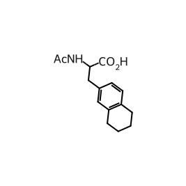 CC(=O)NC(Cc1ccc2c(c1)CCCC2)C(=O)O